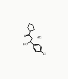 Cl.O=C(CC(O)c1ccc(Cl)cc1)N1CCCC1